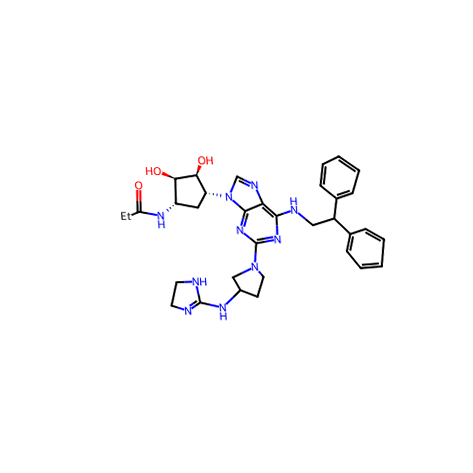 CCC(=O)N[C@H]1C[C@@H](n2cnc3c(NCC(c4ccccc4)c4ccccc4)nc(N4CCC(NC5=NCCN5)C4)nc32)[C@H](O)[C@@H]1O